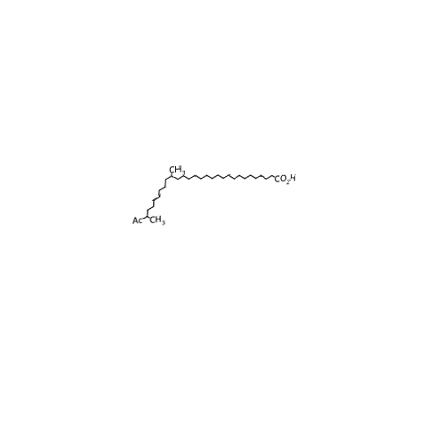 CC(=O)C(C)CCCCCCCC(C)CCCCCCCCCCCCCCCCCCC(=O)O